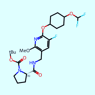 COc1nc(OC2CCC(OC(F)F)CC2)c(F)cc1CNC(=O)[C@@H]1CCCN1C(=O)OC(C)(C)C